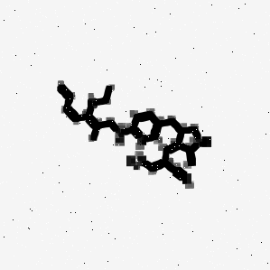 C=C/C=C\C(OCC)=C(/C)CNc1ccc(CC2CNC(=C)/C2=C\C(C#N)=C/N)cn1